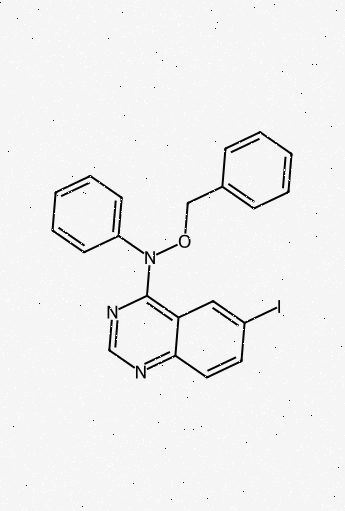 Ic1ccc2ncnc(N(OCc3ccccc3)c3ccccc3)c2c1